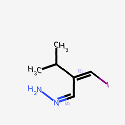 CC(C)C(/C=N\N)=C/I